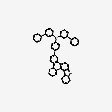 c1ccc(-c2cccc(N(c3ccc(-c4ccc5c6ccccc6c6c(ccc7oc8ccccc8c76)c5c4)cc3)c3cccc(-c4ccccc4)c3)c2)cc1